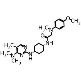 COc1ccc(N(C)CC(=O)N[C@H]2CC[C@@H](Nc3ncc(C)c(N(C)C)n3)CC2)cc1